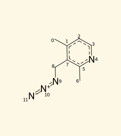 Cc1ccnc(C)c1CN=[N+]=[N-]